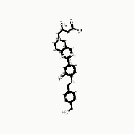 CCc1ccc(COc2ccc(-c3ncc4c(n3)CCN(CC(C)CC(=O)O)C4)cc2C)cc1